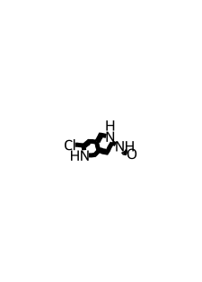 O=CNC1C=C2CNC(Cl)=CC2=CN1